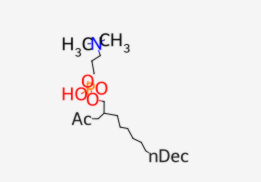 CCCCCCCCCCCCCCCCC(COP(=O)(O)OCCCN(C)C)CC(C)=O